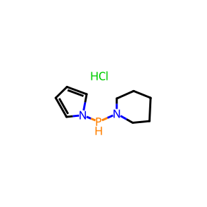 Cl.c1ccn(PN2CCCCC2)c1